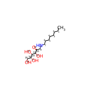 CCCCCCCCNCC(=O)[C@@H](O)[C@H](O)[C@H](O)CO